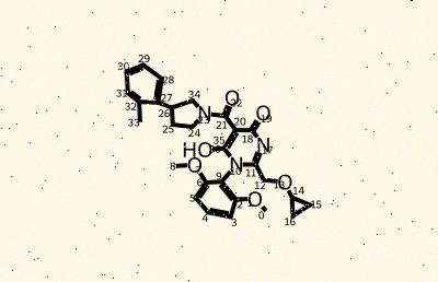 COc1cccc(OC)c1-n1c(COC2CC2)nc(=O)c(C(=O)N2CCC(c3ccccc3C)C2)c1O